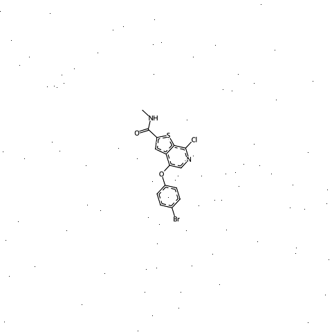 CNC(=O)c1cc2c(Oc3ccc(Br)cc3)cnc(Cl)c2s1